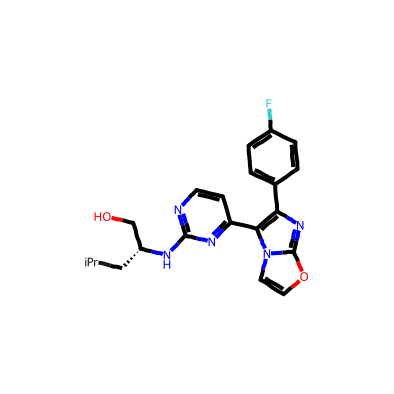 CC(C)C[C@H](CO)Nc1nccc(-c2c(-c3ccc(F)cc3)nc3occn23)n1